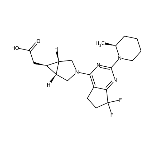 C[C@H]1CCCCN1c1nc(N2C[C@@H]3[C@@H](CC(=O)O)[C@@H]3C2)c2c(n1)C(F)(F)CC2